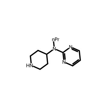 CCCN(c1ncccn1)C1CCNCC1